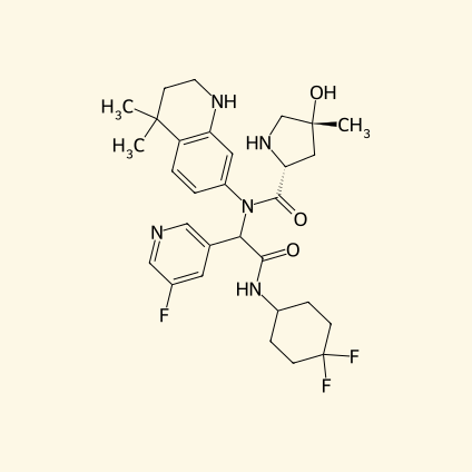 CC1(C)CCNc2cc(N(C(=O)[C@H]3C[C@@](C)(O)CN3)C(C(=O)NC3CCC(F)(F)CC3)c3cncc(F)c3)ccc21